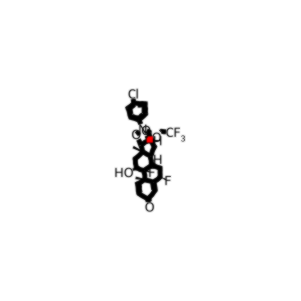 C[C@]12C=CC(=O)C=C1[C@@H](F)C[C@H]1C3C[C@H]4CN(c5ccc(Cl)cc5)O[C@@]4(C(=O)OCC(F)(F)F)[C@@]3(C)C[C@H](O)[C@@]12F